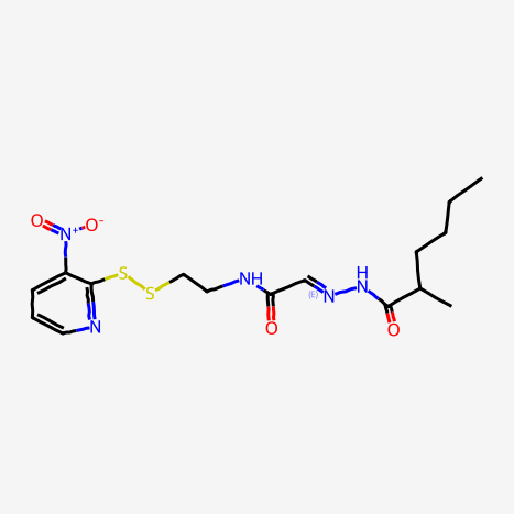 CCCCC(C)C(=O)N/N=C/C(=O)NCCSSc1ncccc1[N+](=O)[O-]